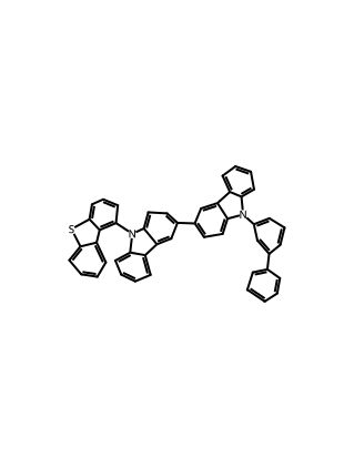 c1ccc(-c2cccc(-n3c4ccccc4c4cc(-c5ccc6c(c5)c5ccccc5n6-c5cccc6sc7ccccc7c56)ccc43)c2)cc1